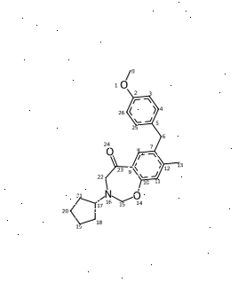 COc1ccc(Cc2cc3c(cc2C)OCN(C2CCCC2)CC3=O)cc1